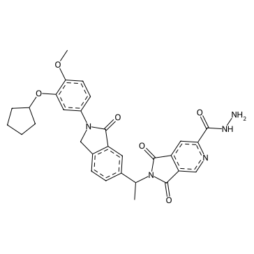 COc1ccc(N2Cc3ccc(C(C)N4C(=O)c5cnc(C(=O)NN)cc5C4=O)cc3C2=O)cc1OC1CCCC1